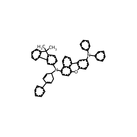 CC1(C)c2ccccc2-c2cc(N(c3ccc4c5c(cccc35)-c3cc(N(c5ccccc5)c5ccccc5)ccc3O4)C3C=CC(c4ccccc4)=CC3)ccc21